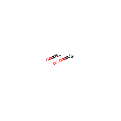 [O-2].[O]=[Eu+].[O]=[Eu+]